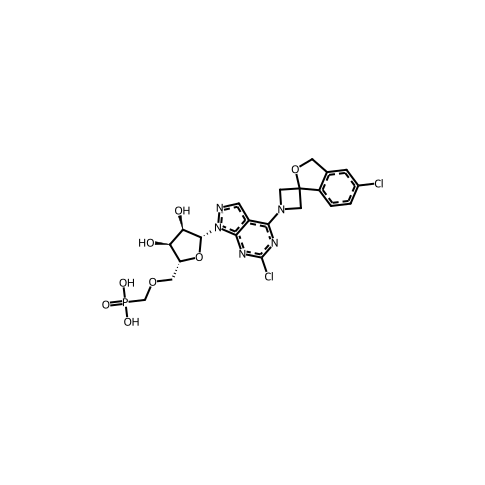 O=P(O)(O)COC[C@H]1O[C@@H](n2ncc3c(N4CC5(C4)OCc4cc(Cl)ccc45)nc(Cl)nc32)[C@H](O)[C@@H]1O